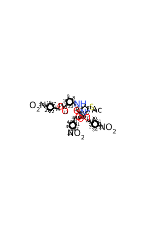 CC(=O)S[C@H]1C[C@@H](CNc2cccc(C(=O)OCc3ccc([N+](=O)[O-])cc3)c2)[N+](C(=O)OCc2ccc([N+](=O)[O-])cc2)(C(=O)OCc2ccc([N+](=O)[O-])cc2)C1